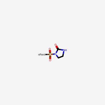 CCCCCS(=O)(=O)N1CCNC1=O